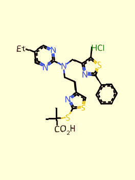 CCc1cnc(N(CCc2csc(SC(C)(C)C(=O)O)n2)Cc2nc(-c3ccccc3)sc2C)nc1.Cl